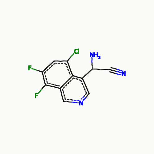 N#CC(N)c1cncc2c(F)c(F)cc(Cl)c12